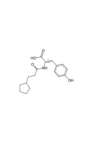 O=C(CCC1CCCC1)N/C(=C\c1ccc(O)cc1)C(=O)O